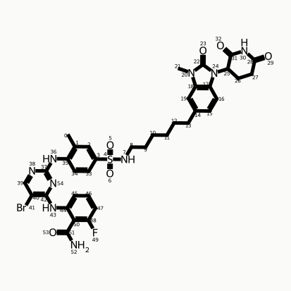 Cc1cc(S(=O)(=O)NCCCCCCc2ccc3c(c2)n(C)c(=O)n3C2CCC(=O)NC2=O)ccc1Nc1ncc(Br)c(Nc2cccc(F)c2C(N)=O)n1